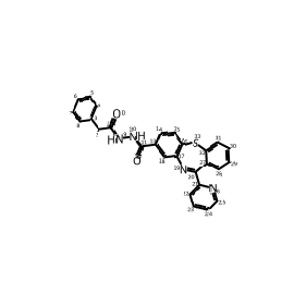 O=C(Cc1ccccc1)NNC(=O)c1ccc2c(c1)N=C(c1ccccn1)c1ccccc1S2